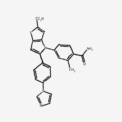 Cc1cc(-n2c(-c3ccc(-n4ccnc4)cc3)cc3sc(C(=O)O)cc32)ccc1C(N)=O